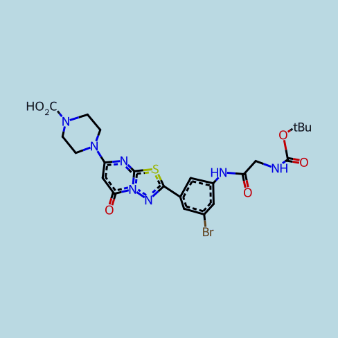 CC(C)(C)OC(=O)NCC(=O)Nc1cc(Br)cc(-c2nn3c(=O)cc(N4CCN(C(=O)O)CC4)nc3s2)c1